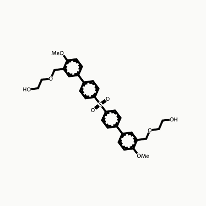 COc1ccc(-c2ccc(S(=O)(=O)c3ccc(-c4ccc(OC)c(COCCO)c4)cc3)cc2)cc1COCCO